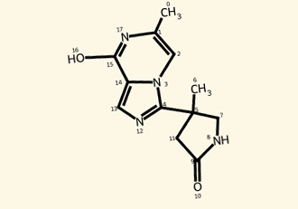 Cc1cn2c(C3(C)CNC(=O)C3)ncc2c(O)n1